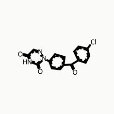 O=C(c1ccc(Cl)cc1)c1ccc(-n2ncc(=O)[nH]c2=O)cc1